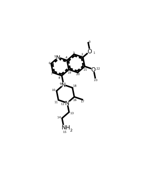 COc1cc2nccc(N3CCN(CCN)C(C)C3)c2cc1OC